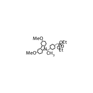 CCOP(=O)(Cc1ccc(C(C)n2c3ccc(OC)cc3c3cc(OC)ccc32)cc1)OCC